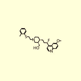 COc1ccc2nccc([C@@H](F)CC[C@@H]3CCN(CCSc4ccccc4C)C[C@@H]3CO)c2c1